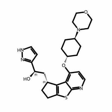 O[C@H](C[C@H]1CCc2sc3nccc(O[C@H]4CC[C@H](N5CCOCC5)CC4)c3c21)c1cc[nH]n1